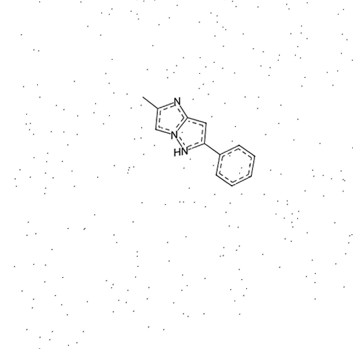 Cc1cn2[nH]c(-c3ccccc3)cc2n1